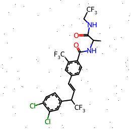 CC(NC(=O)c1ccc(/C=C/C(c2ccc(Cl)c(Cl)c2)C(F)(F)F)cc1C(F)(F)F)C(=O)NCC(F)(F)F